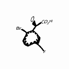 O=C(O)C(=O)c1cc(F)ccc1Br